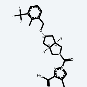 Cc1cn(C(=O)N2C[C@H]3C[C@H](OCc4cccc(C(F)(F)F)c4C)C[C@H]3C2)nc1C(=O)O